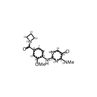 CNc1nc(Nc2ccc(C(=O)N3CCC3)cc2OC)ncc1Cl